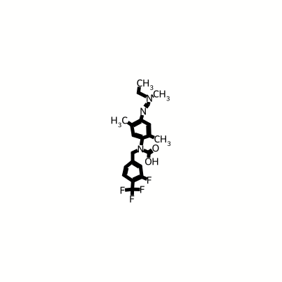 CCN(C)/C=N/c1cc(C)c(N(Cc2ccc(C(F)(F)F)c(F)c2)C(=O)O)cc1C